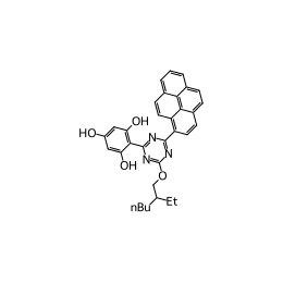 CCCCC(CC)COc1nc(-c2c(O)cc(O)cc2O)nc(-c2ccc3ccc4cccc5ccc2c3c45)n1